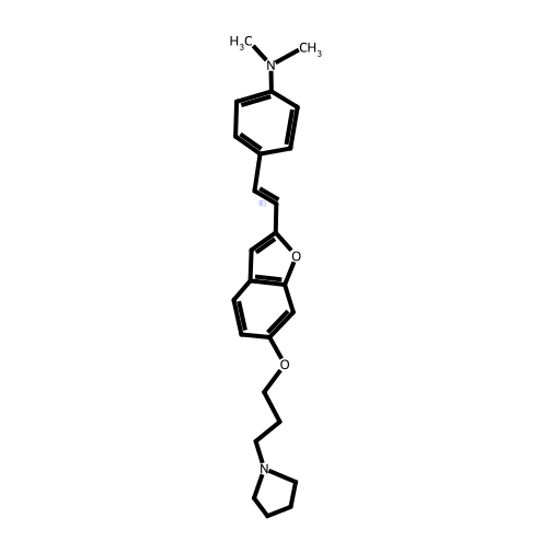 CN(C)c1ccc(/C=C/c2cc3ccc(OCCCN4CCCC4)cc3o2)cc1